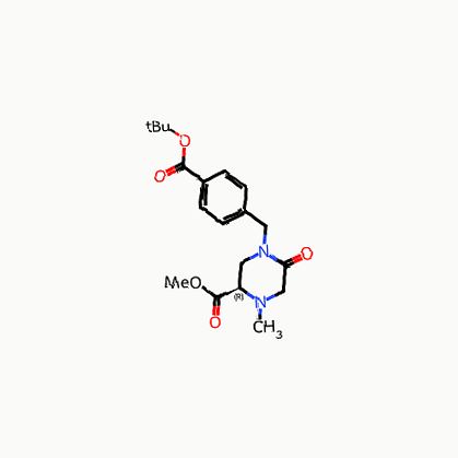 COC(=O)[C@H]1CN(Cc2ccc(C(=O)OC(C)(C)C)cc2)C(=O)CN1C